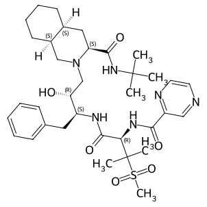 CC(C)(C)NC(=O)[C@@H]1C[C@@H]2CCCC[C@@H]2CN1C[C@@H](O)[C@H](Cc1ccccc1)NC(=O)[C@@H](NC(=O)c1cnccn1)C(C)(C)S(C)(=O)=O